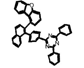 c1ccc(-c2nc(-c3ccccc3)nc(-c3ccc(-c4c(-c5cccc6oc7ccccc7c56)ccc5ccccc45)cc3)n2)cc1